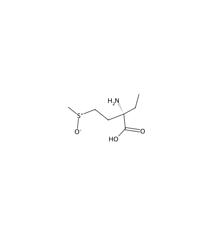 CC[C@](N)(CC[S+](C)[O-])C(=O)O